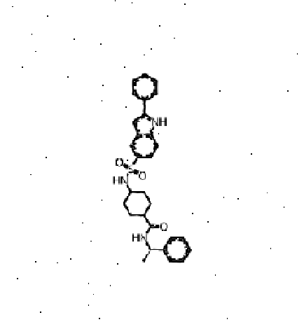 C[C@@H](NC(=O)C1CCC(NS(=O)(=O)c2ccc3[nH]c(-c4ccccc4)cc3c2)CC1)c1ccccc1